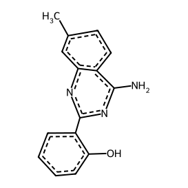 Cc1ccc2c(N)nc(-c3ccccc3O)nc2c1